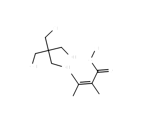 CC(C)=C(C)C(=O)OO.OCC(CO)(CO)CO